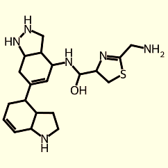 NCC1=NC(C(O)NC2C=C(C3CC=CC4NCCC43)CC3NNCC23)CS1